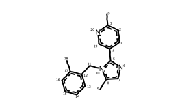 Cc1ccc(-c2ncc(C)n2Cc2ccccc2C)cn1